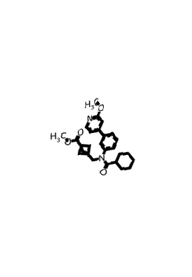 COC(=O)C12CC(CN(C(=O)C3CCCCC3)c3cccc(-c4ccnc(OC)c4)c3)(C1)C2